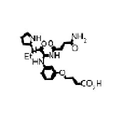 CCN(C(=O)C(NC(=O)CCC(N)=O)Nc1cccc(OCCCC(=O)O)c1)C1CCCN1